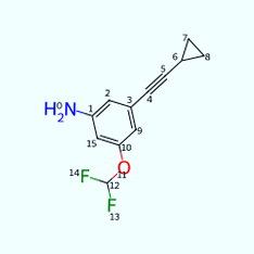 Nc1cc(C#CC2CC2)cc(OC(F)F)c1